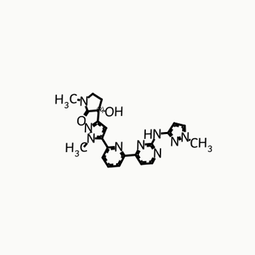 CN1CC[C@@](O)(c2cc(-c3cccc(-c4ccnc(Nc5ccn(C)n5)n4)n3)n(C)n2)C1=O